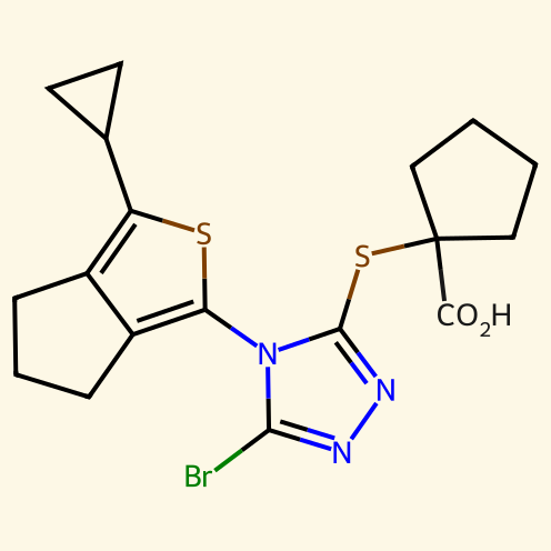 O=C(O)C1(Sc2nnc(Br)n2-c2sc(C3CC3)c3c2CCC3)CCCC1